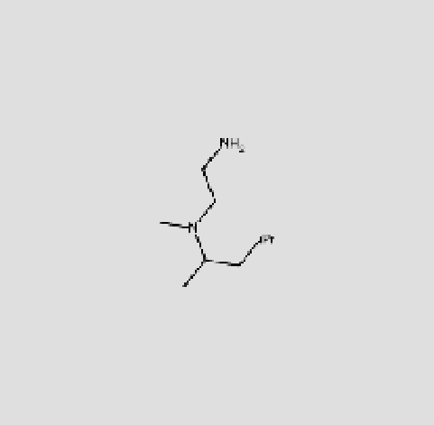 CC(C)CC(C)N(C)CCN